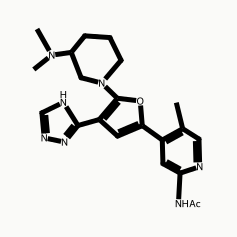 CC(=O)Nc1cc(-c2cc(-c3nnc[nH]3)c(N3CCCC(N(C)C)C3)o2)c(C)cn1